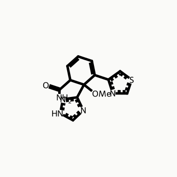 COC1(c2nc[nH]n2)C(c2cscn2)=CC=CC1C(N)=O